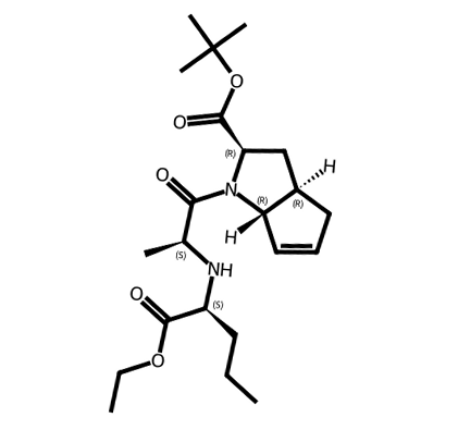 CCC[C@H](N[C@@H](C)C(=O)N1[C@@H](C(=O)OC(C)(C)C)C[C@H]2CC=C[C@@H]21)C(=O)OCC